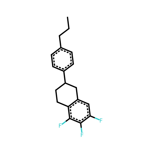 CCCc1ccc(C2CCc3c(cc(F)c(F)c3F)C2)cc1